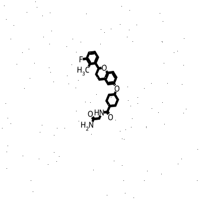 Cc1c(F)cccc1C1CCc2cc(OC3CCC(C(=O)NCC(N)=O)CC3)ccc2O1